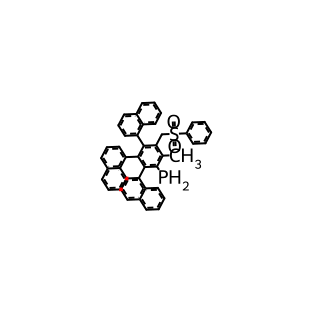 Cc1c(P)c(-c2cccc3ccccc23)c(-c2cccc3ccccc23)c(-c2cccc3ccccc23)c1CS(=O)(=O)c1ccccc1